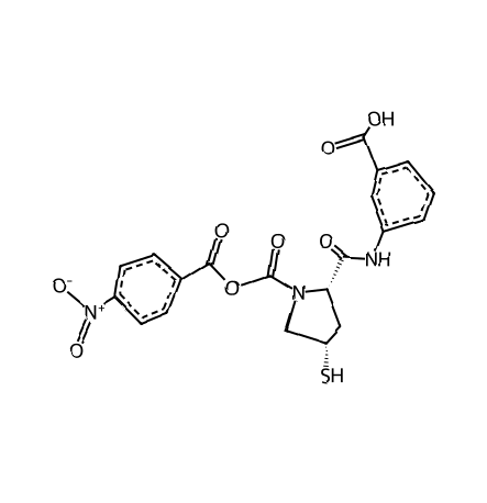 O=C(O)c1cccc(NC(=O)[C@@H]2C[C@H](S)CN2C(=O)OC(=O)c2ccc([N+](=O)[O-])cc2)c1